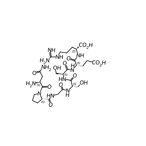 N=C(N)NCCC[C@H](NC(=O)[C@H](CCC(=O)O)NC(=O)[C@H](CO)NC(=O)[C@H](CO)NC(=O)CNC(=O)[C@@H]1CCCN1C(=O)[C@@H](N)CC(N)=O)C(=O)O